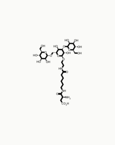 N[C@@H](CC(=O)O)C(=O)NCCCCCC(=O)NCCO[C@H]1O[C@H](CO[C@H]2O[C@H](CO)[C@@H](O)[C@H](O)[C@@H]2O)[C@@H](O)[C@H](OC2O[C@H](CO)[C@@H](O)[C@H](O)[C@@H]2O)[C@@H]1O